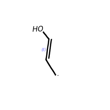 [CH2]/C=C/O